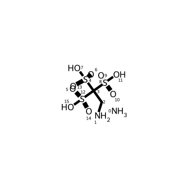 N.NCC(S(=O)(=O)O)(S(=O)(=O)O)S(=O)(=O)O